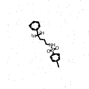 [2H]C([2H])(CCCNS(=O)(=O)c1ccc(C)cc1)c1ccccc1